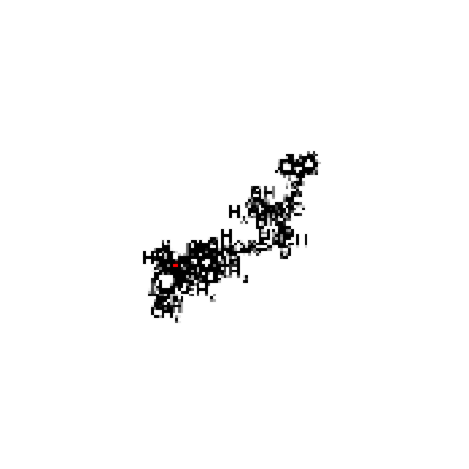 CC[C@]1(O)C[C@H]2CN(CCc3c([nH]c4ccccc34)[C@@](C(=O)OC)(c3cc4c(cc3OC)N(C)[C@H]3[C@@](O)(C(=O)NNC(=O)OCCSSC[C@H](NC(=O)[C@H](CNC(=O)CCSCC5c6ccccc6-c6ccccc65)NC(=O)[C@H](CC(=O)O)NC)C(=O)O)[C@H](O)[C@]5(CC)C=CCN6CC[C@]43[C@@H]65)C2)C1